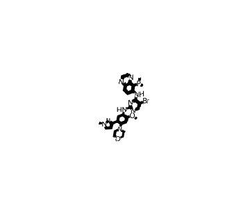 COc1cc(N2CCOCC2)c(-c2ccn(C)n2)cc1Nc1ncc(Br)c(Nc2ccc3nccnc3c2P(C)C)n1